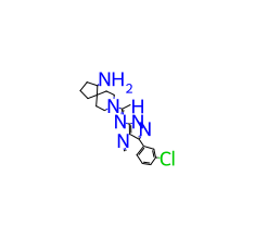 C=Nc1c(-c2cccc(Cl)c2)n[nH]c1/N=C(\C)N1CCC2(CCC[C@H]2N)CC1